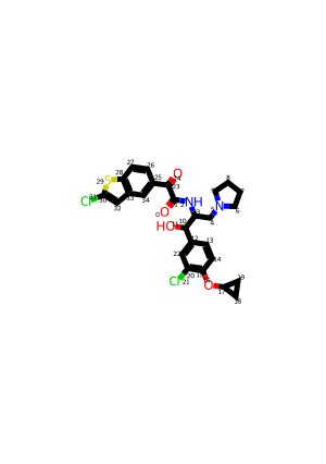 O=C(NC(CN1CCCC1)C(O)c1ccc(OC2CC2)c(Cl)c1)C(=O)c1ccc2sc(Cl)cc2c1